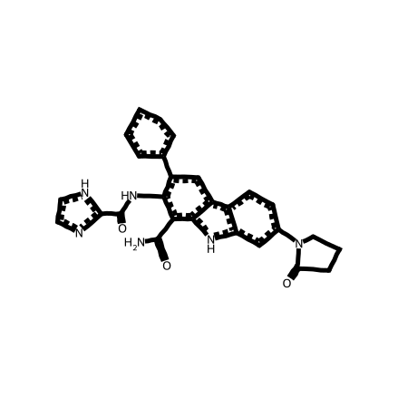 NC(=O)c1c(NC(=O)c2ncc[nH]2)c(-c2ccccc2)cc2c1[nH]c1cc(N3CCCC3=O)ccc12